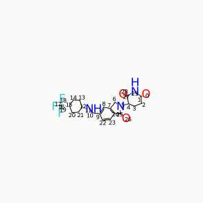 O=C1CCC(N2Cc3cc(CN[C@H]4CC[C@@H](C(F)(F)F)CC4)ccc3C2=O)C(=O)N1